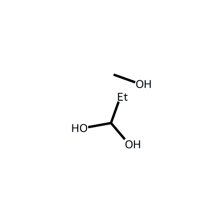 CCC(O)O.CO